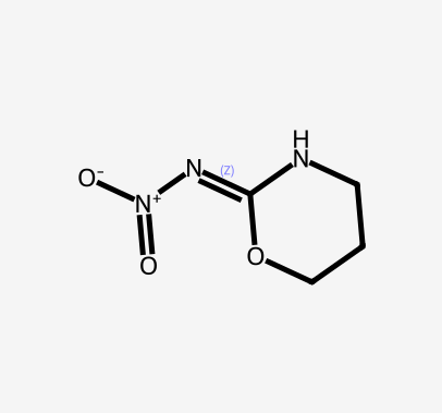 O=[N+]([O-])/N=C1/NCCCO1